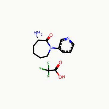 N[C@H]1CCCCN(c2cccnc2)C1=O.O=C(O)C(F)(F)F